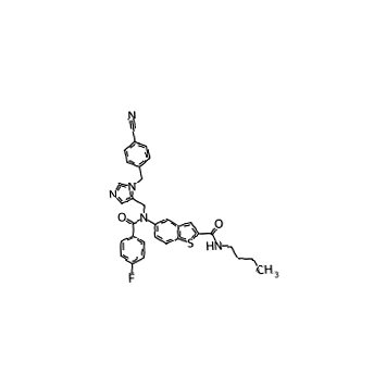 CCCCNC(=O)c1cc2cc(N(Cc3cncn3Cc3ccc(C#N)cc3)C(=O)c3ccc(F)cc3)ccc2s1